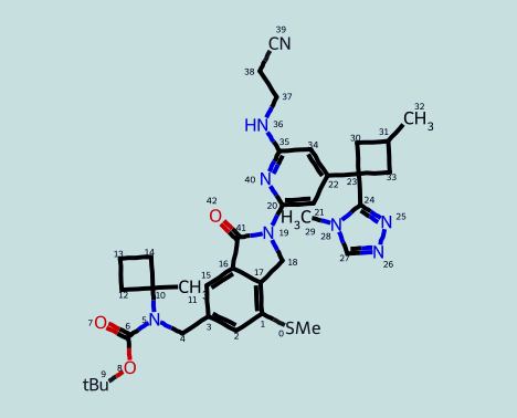 CSc1cc(CN(C(=O)OC(C)(C)C)C2(C)CCC2)cc2c1CN(c1cc(C3(c4nncn4C)CC(C)C3)cc(NCCC#N)n1)C2=O